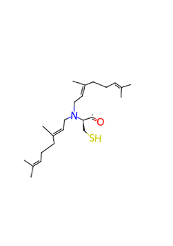 CC(C)=CCC/C(C)=C/CN(C/C=C(\C)CCC=C(C)C)[C@@H]([C]=O)CS